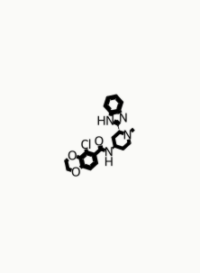 CN1CC[C@@H](NC(=O)c2ccc3c(c2Cl)OCCO3)C[C@@H]1c1nc2ccccc2[nH]1